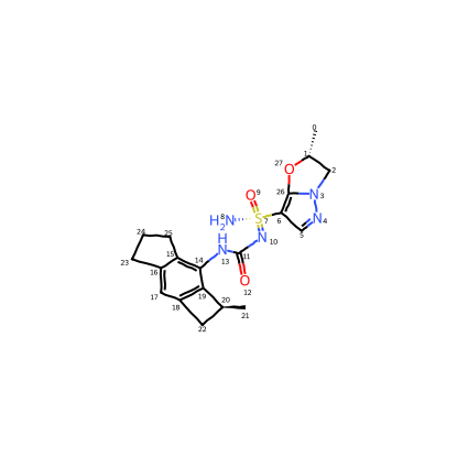 C[C@@H]1Cn2ncc([S@](N)(=O)=NC(=O)Nc3c4c(cc5c3[C@@H](C)C5)CCC4)c2O1